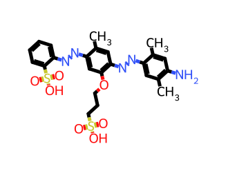 Cc1cc(N=Nc2cc(C)c(N=Nc3ccccc3S(=O)(=O)O)cc2OCCCS(=O)(=O)O)c(C)cc1N